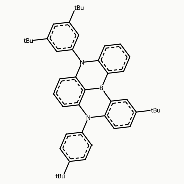 CC(C)(C)c1ccc(N2c3ccc(C(C)(C)C)cc3B3c4ccccc4N(c4cc(C(C)(C)C)cc(C(C)(C)C)c4)c4cccc2c43)cc1